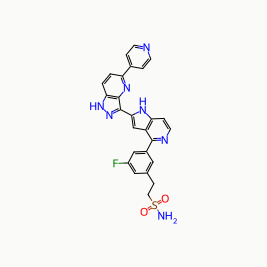 NS(=O)(=O)CCc1cc(F)cc(-c2nccc3[nH]c(-c4n[nH]c5ccc(-c6ccncc6)nc45)cc23)c1